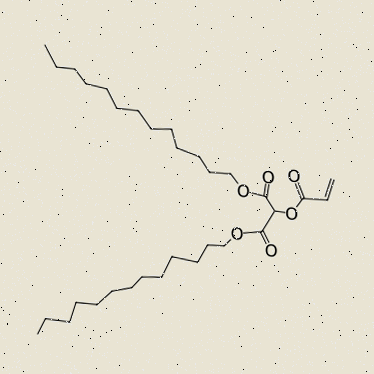 C=CC(=O)OC(C(=O)OCCCCCCCCCCCCC)C(=O)OCCCCCCCCCCCCC